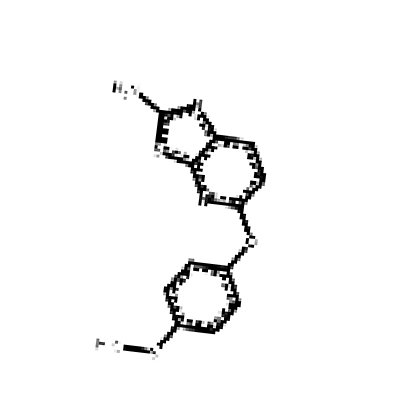 CSc1ccc(Oc2ccc3nc(N)sc3n2)cc1